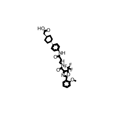 COc1ccccc1-c1nc(C(=O)NCCC(=O)Nc2ccc([C@H]3CC[C@H](CC(=O)O)CC3)cc2)c(C(F)(F)F)o1